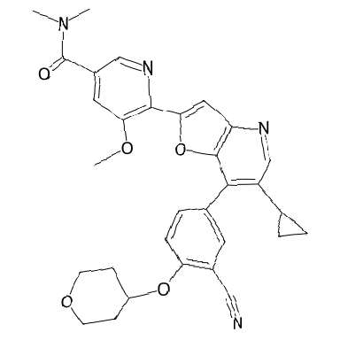 COc1cc(C(=O)N(C)C)cnc1-c1cc2ncc(C3CC3)c(-c3ccc(OC4CCOCC4)c(C#N)c3)c2o1